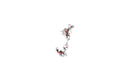 CCCN(Cc1ncc(-c2ccc3cc(C#Cc4ccc5nc([C@@H]6[C@H](CC)CCN6C(=O)CNC(=O)OC)[nH]c5c4)ccc3c2)[nH]1)C(=O)CNC(=O)OC